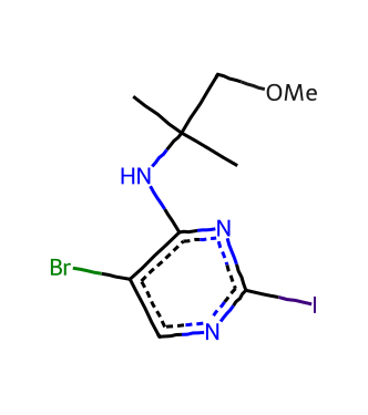 COCC(C)(C)Nc1nc(I)ncc1Br